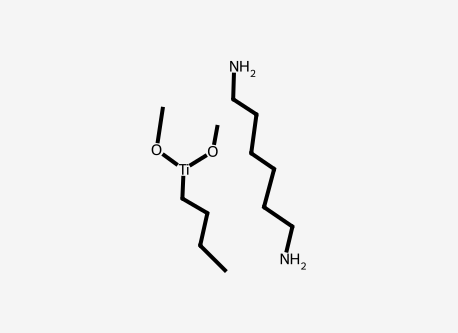 CCC[CH2][Ti]([O]C)[O]C.NCCCCCCN